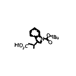 CC(CC(=O)O)c1cn(C(=O)OC(C)(C)C)c2ccccc12